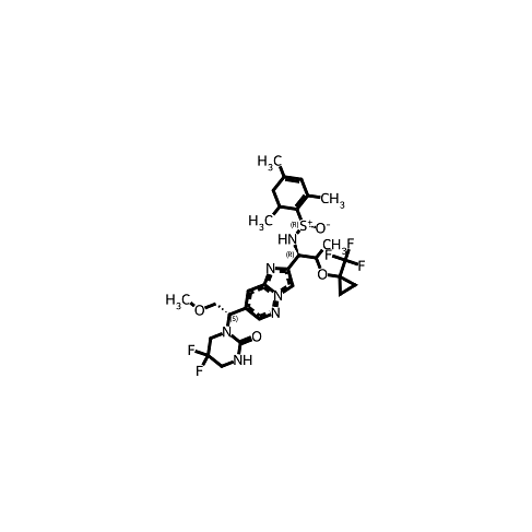 COC[C@H](c1cnn2cc([C@@H](N[S@@+]([O-])C3=C(C)C=C(C)CC3C)C(C)OC3(C(F)(F)F)CC3)nc2c1)N1CC(F)(F)CNC1=O